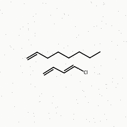 C=CC=CCl.C=CCCCCCC